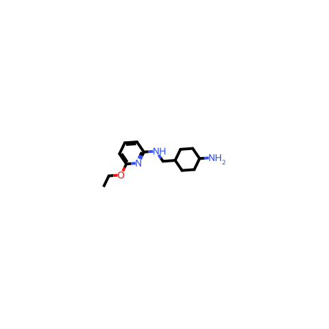 CCOc1cccc(NCC2CCC(N)CC2)n1